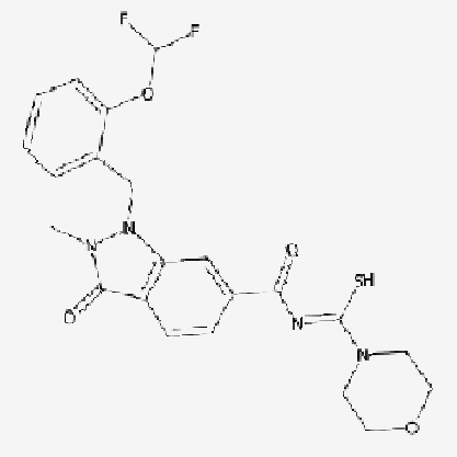 Cn1c(=O)c2ccc(C(=O)/N=C(\S)N3CCOCC3)cc2n1Cc1ccccc1OC(F)F